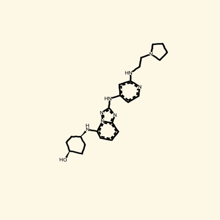 O[C@H]1CC[C@@H](Nc2cccc3nc(Nc4ccnc(NCCN5CCCC5)c4)nn23)CC1